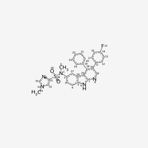 CN(c1ccc2[nH]c3ncc(-c4ccc(F)cc4)c(-c4ccccc4)c3c2c1)S(=O)(=O)c1cn(C)cn1